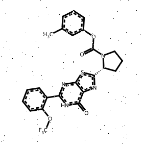 Cc1cccc(OC(=O)N2CCC[C@@H]2c2nc3c(=O)[nH]c(-c4ccccc4OC(F)(F)F)nc3s2)c1